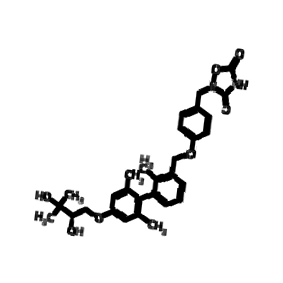 Cc1cc(OC[C@@H](O)C(C)(C)O)cc(C)c1-c1cccc(COc2ccc(Cn3oc(=O)[nH]c3=O)cc2)c1C